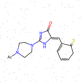 CC(=O)N1CCN(C2=NC(=O)C(=CC3=CC=CCC3=S)N2)CC1